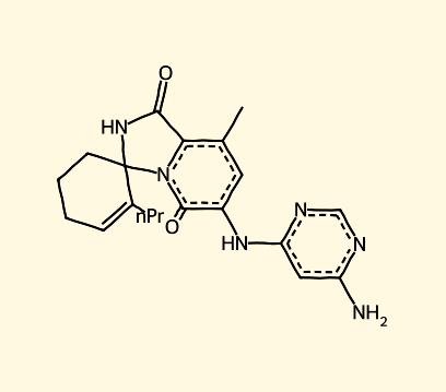 CCCC1=CCCCC12NC(=O)c1c(C)cc(Nc3cc(N)ncn3)c(=O)n12